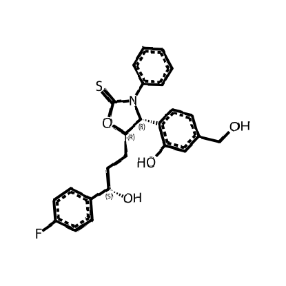 OCc1ccc([C@@H]2[C@@H](CC[C@H](O)c3ccc(F)cc3)OC(=S)N2c2ccccc2)c(O)c1